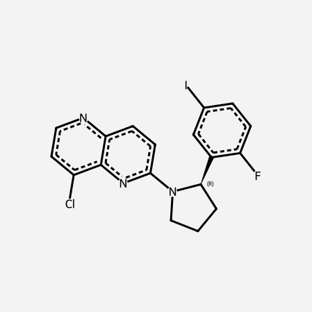 Fc1ccc(I)cc1[C@H]1CCCN1c1ccc2nccc(Cl)c2n1